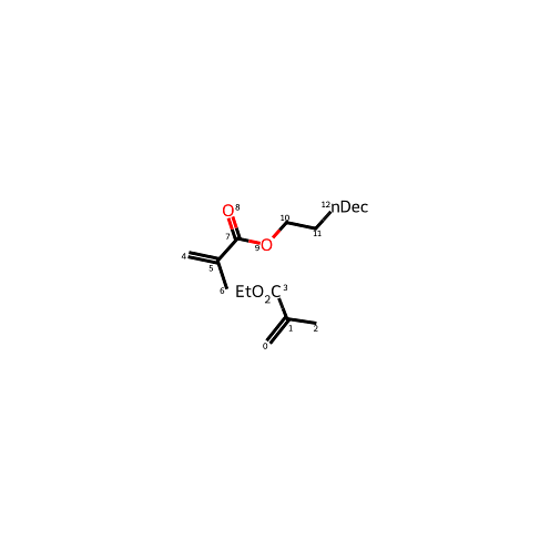 C=C(C)C(=O)OCC.C=C(C)C(=O)OCCCCCCCCCCCC